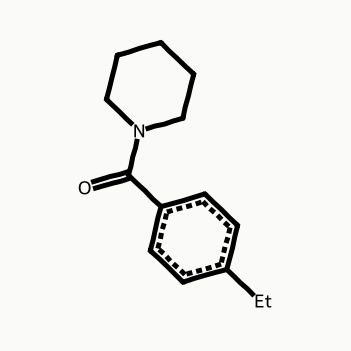 [CH2]Cc1ccc(C(=O)N2CCCCC2)cc1